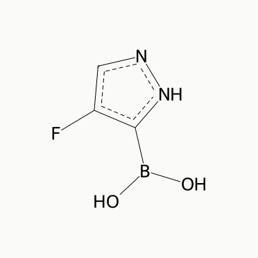 OB(O)c1[nH]ncc1F